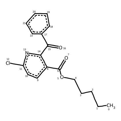 CCCCCOC(=O)c1ccc(Cl)nc1C(=O)c1ccccc1